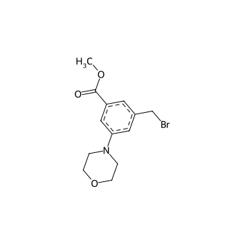 COC(=O)c1cc(CBr)cc(N2CCOCC2)c1